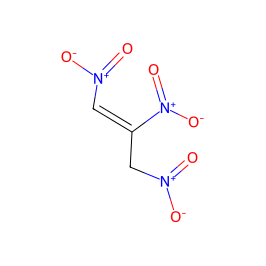 O=[N+]([O-])C=C(C[N+](=O)[O-])[N+](=O)[O-]